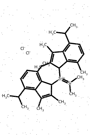 CC1=C(C)[CH]([Zr+2]([CH]2C(C)=C(C)c3c(C(C)C)ccc(C)c32)=[Si](C)C)c2c(C)ccc(C(C)C)c21.[Cl-].[Cl-]